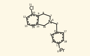 CC(C)c1ccc(CN2CCc3c(Cl)cccc3C2)cc1